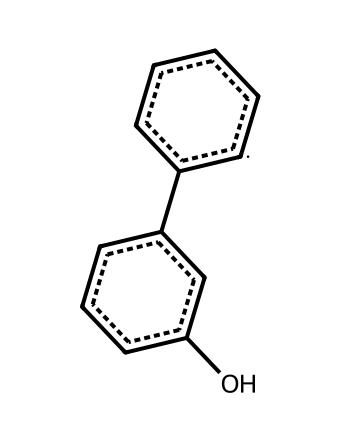 Oc1cccc(-c2[c]cccc2)c1